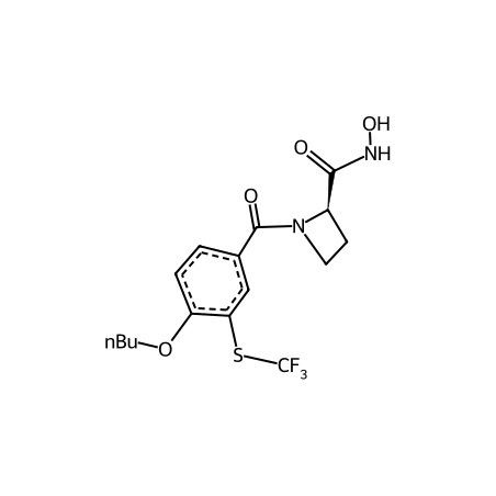 CCCCOc1ccc(C(=O)N2CC[C@@H]2C(=O)NO)cc1SC(F)(F)F